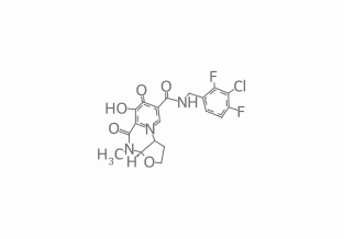 CN1C(=O)c2c(O)c(=O)c(C(=O)NCc3ccc(F)c(Cl)c3F)cn2C2CCO[C@@H]21